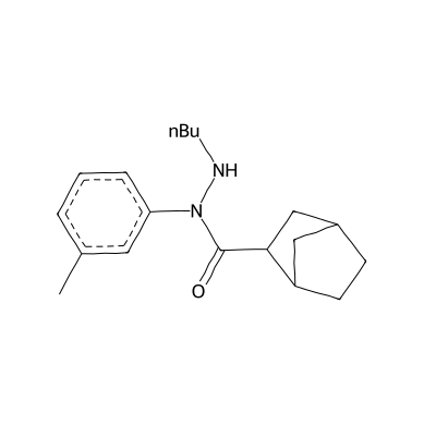 CCCCNN(C(=O)C1CC2CCC1C2)c1cccc(C)c1